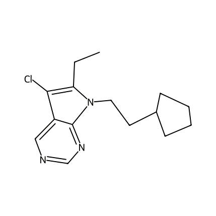 CCc1c(Cl)c2cncnc2n1CCC1CCCC1